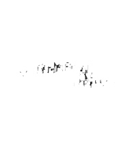 COC(=O)NC(C(=O)N1CCC[C@H]1c1ncc(-c2ccc(-c3cc4cc5nc([C@@H]6CCCN6C(=O)[C@@H](NC(=O)OC)C(C)C)[nH]c5cc4s3)s2)[nH]1)C(C)C